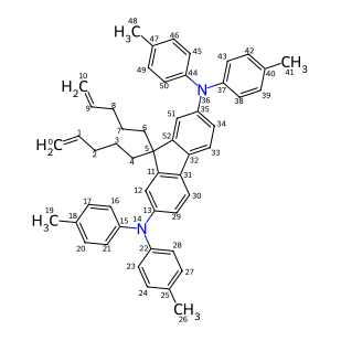 C=CCCCC1(CCCC=C)c2cc(N(c3ccc(C)cc3)c3ccc(C)cc3)ccc2-c2ccc(N(c3ccc(C)cc3)c3ccc(C)cc3)cc21